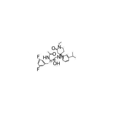 CCN1CC[C@](NC[C@@H](O)[C@H](Cc2cc(F)cc(F)c2)NC(C)=O)(c2cccc(C(C)C)c2)CC1=O